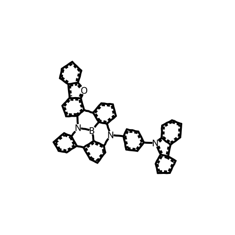 c1ccc2c(c1)-c1cccc3c1B1c4c(cccc4N3c3ccc(-n4c5ccccc5c5ccccc54)cc3)-c3c(ccc4c3oc3ccccc34)N12